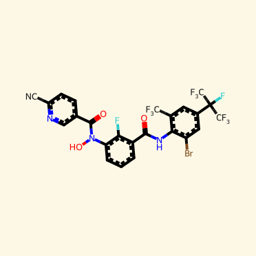 N#Cc1ccc(C(=O)N(O)c2cccc(C(=O)Nc3c(Br)cc(C(F)(C(F)(F)F)C(F)(F)F)cc3C(F)(F)F)c2F)cn1